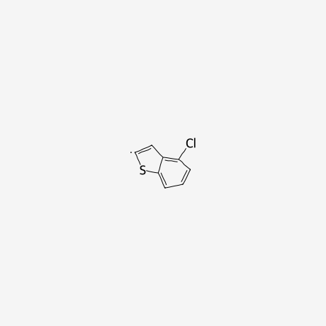 Clc1cccc2s[c]cc12